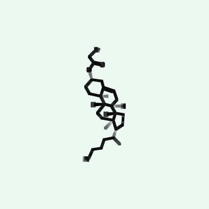 CC(C)CCCC(C)[C@H]1CC[C@H]2[C@@H]3CC=C4C[C@@H](OC(=O)CBr)CC[C@]4(C)[C@H]3CC[C@]12C